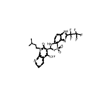 CC(C)CCn1c(=O)c(C2=NS(=O)(=O)c3c(ccc4[nH]c(C(F)(F)C(F)(F)F)nc34)N2)c(O)c2cccnc21